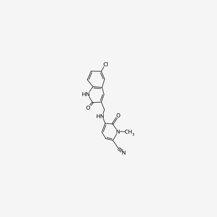 Cn1c(C#N)ccc(NCc2cc3cc(Cl)ccc3[nH]c2=O)c1=O